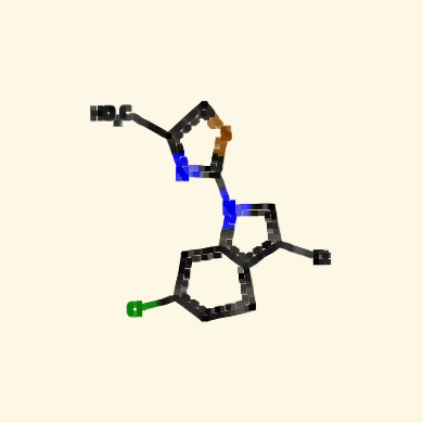 CCc1cn(-c2nc(C(=O)O)cs2)c2cc(Cl)ccc12